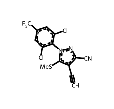 C#Cc1c(C#N)nn(-c2c(Cl)cc(C(F)(F)F)cc2Cl)c1SC